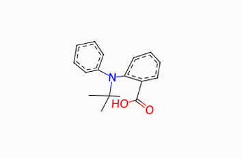 CC(C)(C)N(c1ccccc1)c1ccccc1C(=O)O